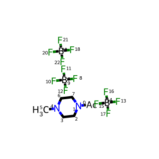 CC(=O)N1CCN(C)CC1.F[B-](F)(F)F.F[B-](F)(F)F.F[B-](F)(F)F